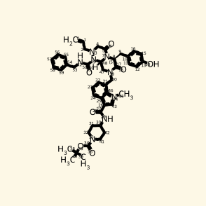 C=CCN1CC(=O)N2[C@@H](Cc3ccc(O)cc3)C(=O)N(Cc3cccc4c(C(=O)NC5CCN(C(=O)OC(C)(C)C)CC5)cn(C)c34)C[C@@H]2N1C(=O)NCc1ccccc1